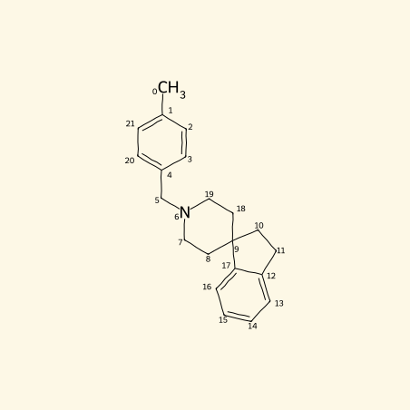 Cc1ccc(CN2CCC3(CCc4ccccc43)CC2)cc1